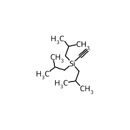 [C]#C[Si](CC(C)C)(CC(C)C)CC(C)C